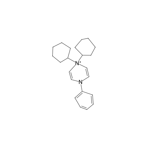 C1=C[N+](C2CCCCC2)(C2CCCCC2)C=CN1c1ccccc1